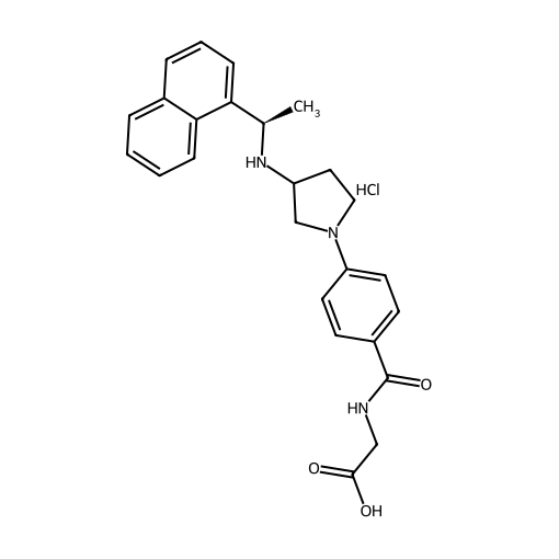 C[C@@H](NC1CCN(c2ccc(C(=O)NCC(=O)O)cc2)C1)c1cccc2ccccc12.Cl